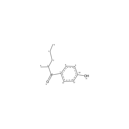 CCCC(C)C(=O)c1ccc(O)cc1